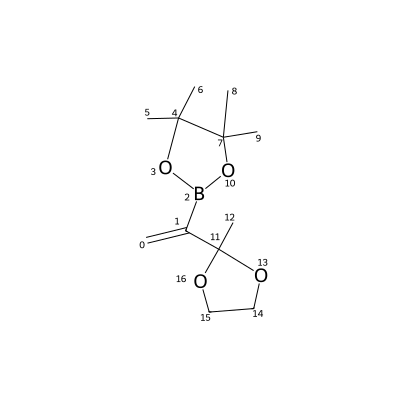 C=C(B1OC(C)(C)C(C)(C)O1)C1(C)OCCO1